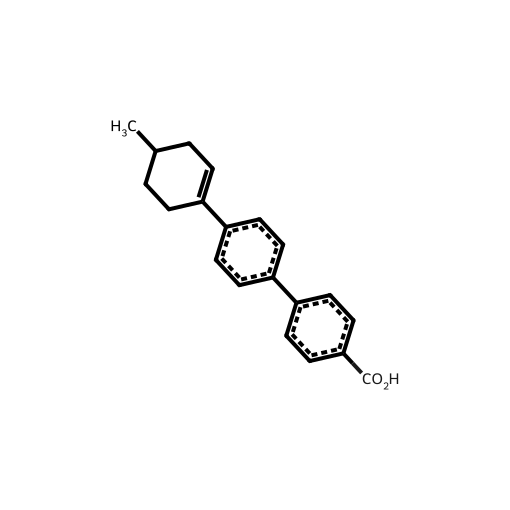 CC1CC=C(c2ccc(-c3ccc(C(=O)O)cc3)cc2)CC1